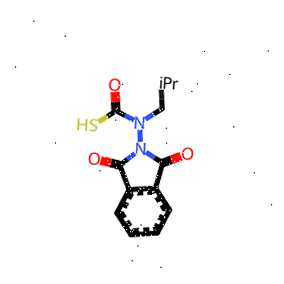 CC(C)CN(C(=O)S)N1C(=O)c2ccccc2C1=O